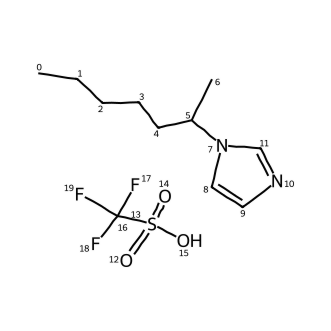 CCCCCC(C)n1ccnc1.O=S(=O)(O)C(F)(F)F